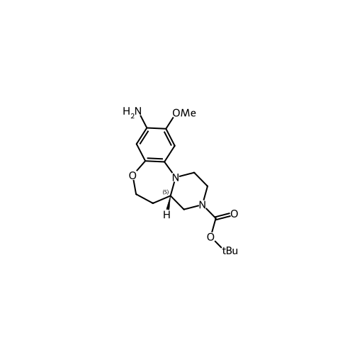 COc1cc2c(cc1N)OCC[C@H]1CN(C(=O)OC(C)(C)C)CCN21